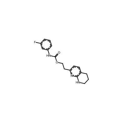 O=C(Nc1cccc(F)c1)OCCc1ccc2c(n1)NCCC2